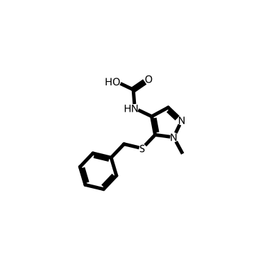 Cn1ncc(NC(=O)O)c1SCc1ccccc1